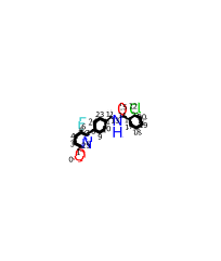 COc1ccc(F)c(-c2ccc(CNC(=O)c3ccccc3Cl)cc2)n1